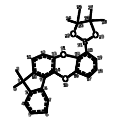 CC1(C)c2ccccc2-c2c1ccc1c2Oc2cccc(B3OC(C)(C)C(C)(C)O3)c2O1